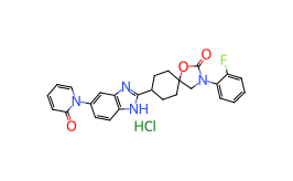 Cl.O=C1OC2(CCC(c3nc4cc(-n5ccccc5=O)ccc4[nH]3)CC2)CN1c1ccccc1F